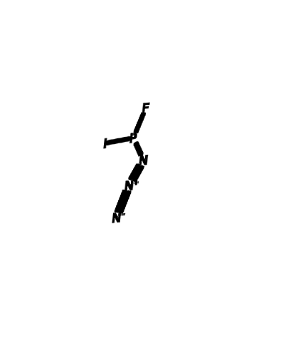 [N-]=[N+]=NP(F)I